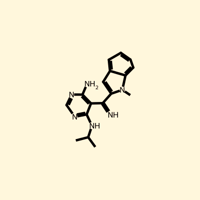 CC(C)Nc1ncnc(N)c1C(=N)c1cc2ccccc2n1C